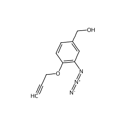 C#CCOc1ccc(CO)cc1N=[N+]=[N-]